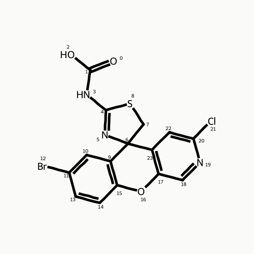 O=C(O)NC1=NC2(CS1)c1cc(Br)ccc1Oc1cnc(Cl)cc12